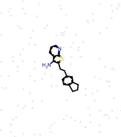 Nc1c(CCc2ccc3c(c2)CCC3)sc2ncccc12